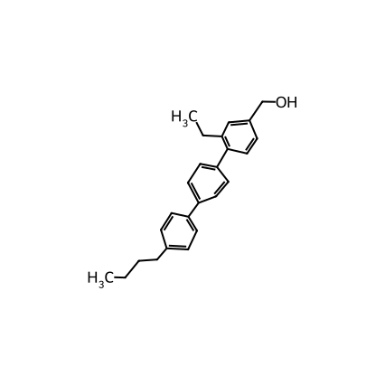 CCCCc1ccc(-c2ccc(-c3ccc(CO)cc3CC)cc2)cc1